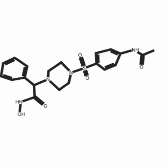 CC(=O)Nc1ccc(S(=O)(=O)N2CCN(C(C(=O)NO)c3ccccc3)CC2)cc1